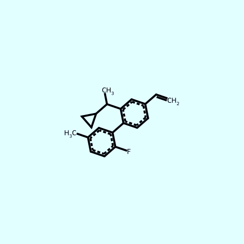 C=Cc1ccc(-c2cc(C)ccc2F)c(C(C)C2CC2)c1